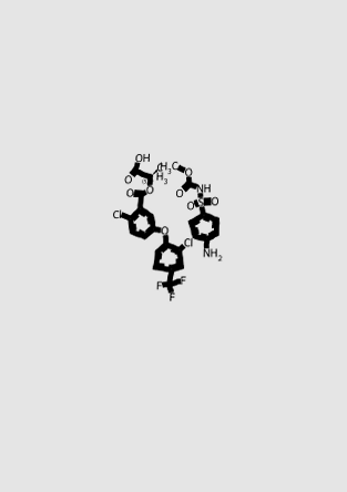 COC(=O)NS(=O)(=O)c1ccc(N)cc1.C[C@H](OC(=O)c1cc(Oc2ccc(C(F)(F)F)cc2Cl)ccc1Cl)C(=O)O